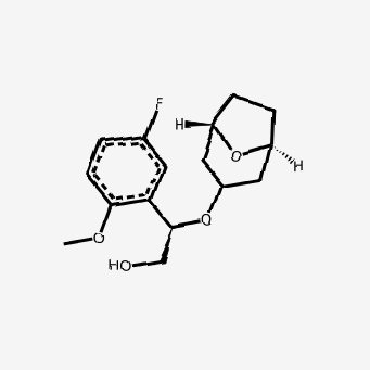 COc1ccc(F)cc1[C@H](CO)OC1C[C@@H]2CC[C@@H](C1)O2